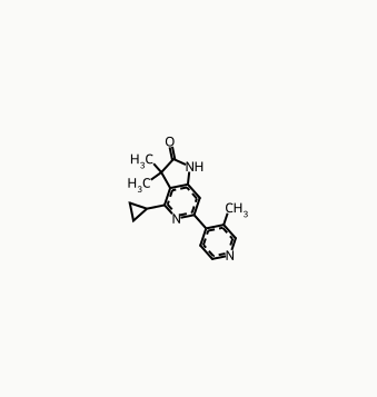 Cc1cnccc1-c1cc2c(c(C3CC3)n1)C(C)(C)C(=O)N2